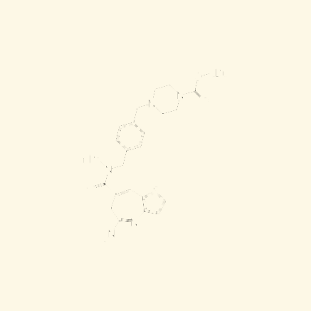 CCCN(Cc1ccc(CN2CCN(C(=O)OC(C)(C)C)CC2)cc1)C(=O)C1=Cc2sccc2N=C(N)C1